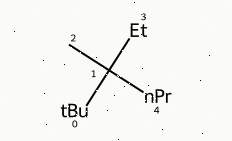 [CH2]C(C)(C)C(C)(CC)CCC